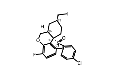 O=S(=O)(c1ccc(Cl)cc1)[C@@]12CC[C@H](CI)C[C@@H]1COc1c(F)ccc(F)c12